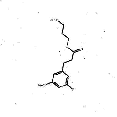 COCCCOC(=O)CCc1cc(F)cc(OC)c1